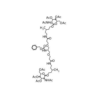 CC(=O)N[C@H]1C(OC(C)=O)[C@@H](OC(C)=O)C(COC(C)=O)O[C@H]1OCCC(C)CCNC(=O)CCOCC(COCCC(=O)NCCC(C)CCO[C@@H]1OC(COC(C)=O)[C@H](OC(C)=O)C(OC(C)=O)[C@@H]1NC(C)=O)NC(=O)OCc1ccccc1